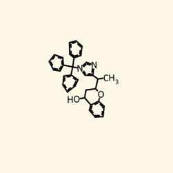 CC(c1cn(C(c2ccccc2)(c2ccccc2)c2ccccc2)cn1)C1CC(O)c2ccccc2O1